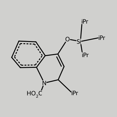 CC(C)C1C=C(O[Si](C(C)C)(C(C)C)C(C)C)c2ccccc2N1C(=O)O